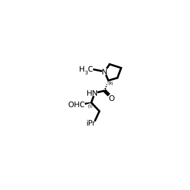 CC(C)C[C@@H](C=O)NC(=O)[C@H]1CCCN1C